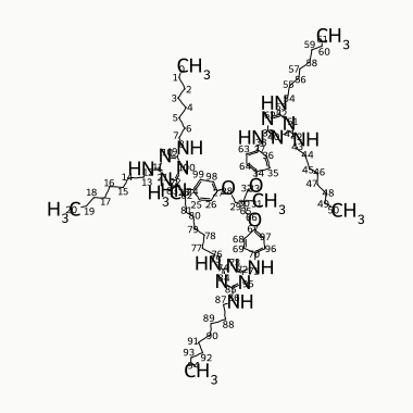 CCCCCCCCNc1nc(NCCCCCCCC)nc(Nc2ccc(OCC(C)(COc3ccc(Nc4nc(NCCCCCCCC)nc(NCCCCCCCC)n4)cc3)COc3ccc(Nc4nc(NCCCCCCCC)nc(NCCCCCCCC)n4)cc3)cc2)n1